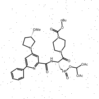 CCCCOC(=O)N1CCN(C(=O)[C@H](C[PH](=O)OC(OC(C)=O)OC(C)=O)NC(=O)c2cc(N3CC[C@H](OC)C3)cc(-c3ccccc3)n2)CC1